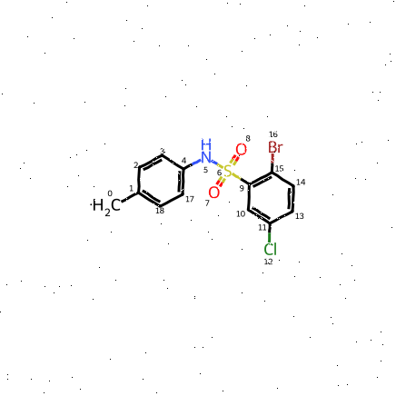 [CH2]c1ccc(NS(=O)(=O)c2cc(Cl)ccc2Br)cc1